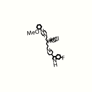 COc1ccccc1N1CCN(CCCCCCN2CCC(c3c[nH]c4cc(F)ccc34)CC2)CC1.Cl.Cl.Cl